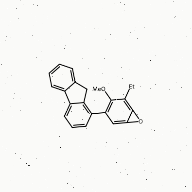 CCc1c2c(cc(-c3cccc4c3Cc3ccccc3-4)c1OC)O2